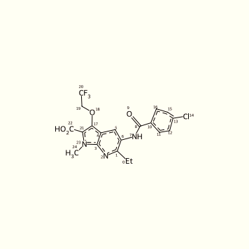 CCc1nc2c(cc1NC(=O)c1ccc(Cl)cc1)c(OCC(F)(F)F)c(C(=O)O)n2C